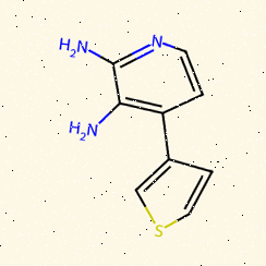 Nc1nccc(-c2ccsc2)c1N